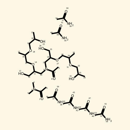 CC(=O)N(C)C.CC(=O)N(CC(CO)OCC(C)OCC(C)O)CC(CO)OCC(C)OCC(C)O.CC(N)=O.CC(N)=O.CC(N)=O.CC(N)=O.CC(N)=O.CC(N)=O